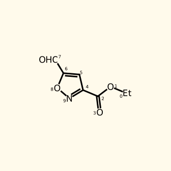 CCOC(=O)c1cc(C=O)on1